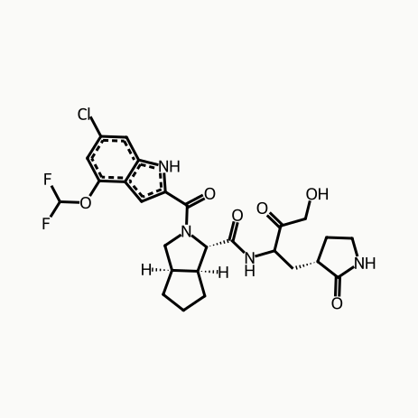 O=C(CO)C(C[C@@H]1CCNC1=O)NC(=O)[C@@H]1[C@H]2CCC[C@H]2CN1C(=O)c1cc2c(OC(F)F)cc(Cl)cc2[nH]1